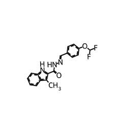 Cc1c(C(=O)NN=Cc2ccc(OC(F)F)cc2)[nH]c2ccccc12